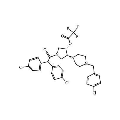 O=C(C(c1ccc(Cl)cc1)c1ccc(Cl)cc1)N1C[C@H](OC(=O)C(F)(F)F)[C@@H](N2CCN(Cc3ccc(Cl)cc3)CC2)C1